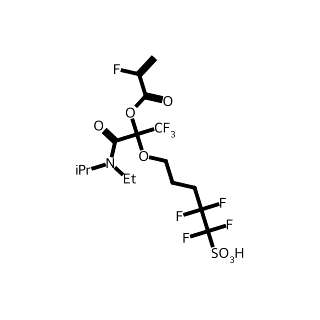 C=C(F)C(=O)OC(OCCCC(F)(F)C(F)(F)S(=O)(=O)O)(C(=O)N(CC)C(C)C)C(F)(F)F